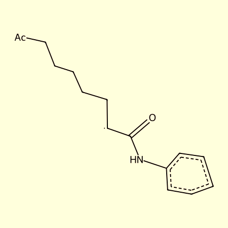 CC(=O)CCCCC[CH]C(=O)Nc1ccccc1